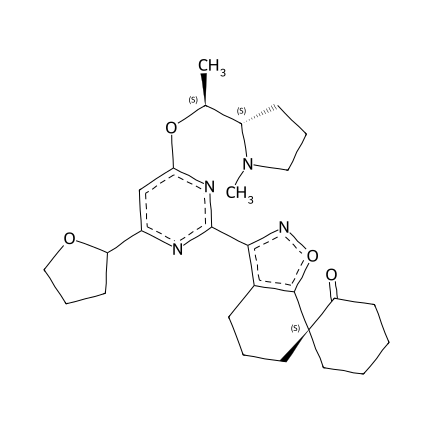 C[C@H](Oc1cc(C2CCCO2)nc(-c2noc3c2CCC[C@@]32CCCCC2=O)n1)[C@@H]1CCCN1C